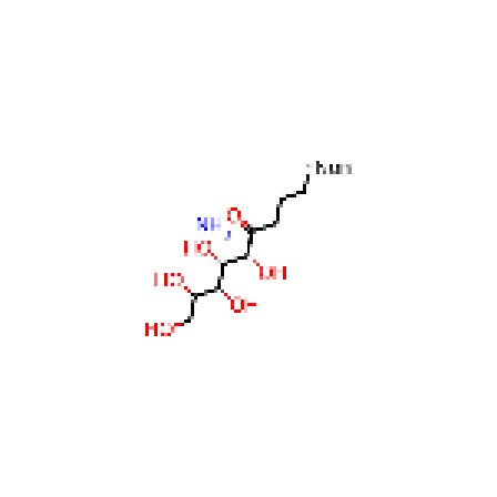 CCCCCCCCCCCCC(=O)[C@H](O)[C@@H](O)[C@H](O)[C@H](O)CO.N